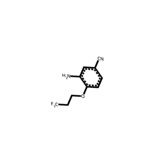 N#Cc1ccc(OCCC(F)(F)F)c(N)c1